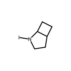 IN1CCC2CCC21